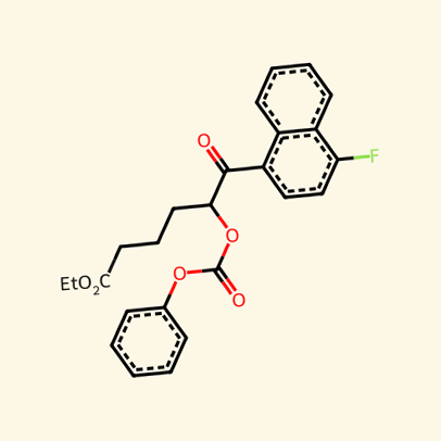 CCOC(=O)CCCC(OC(=O)Oc1ccccc1)C(=O)c1ccc(F)c2ccccc12